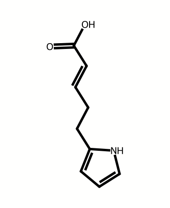 O=C(O)C=CCCc1ccc[nH]1